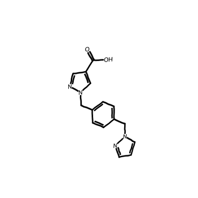 O=C(O)c1cnn(Cc2ccc(Cn3cccn3)cc2)c1